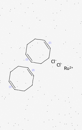 C1=C\CC/C=C\CC/1.C1=C\CC/C=C\CC/1.[Cl-].[Cl-].[Ru+2]